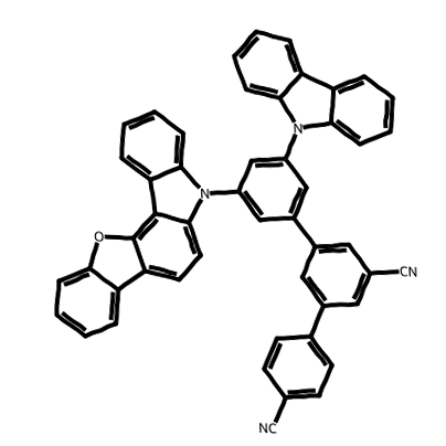 N#Cc1ccc(-c2cc(C#N)cc(-c3cc(-n4c5ccccc5c5ccccc54)cc(-n4c5ccccc5c5c6oc7ccccc7c6ccc54)c3)c2)cc1